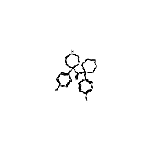 O=C(C1(c2ccc(Cl)cc2)CCNCC1)C1(c2ccc(Cl)cc2)CCNCC1